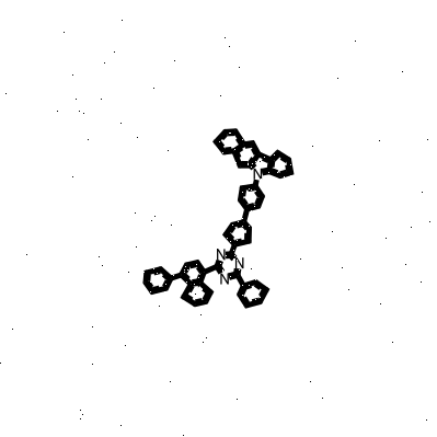 c1ccc(-c2nc(-c3ccc(-c4ccc(-n5c6ccccc6c6cc7ccccc7cc65)cc4)cc3)nc(-c3ccc(-c4ccccc4)c4ccccc34)n2)cc1